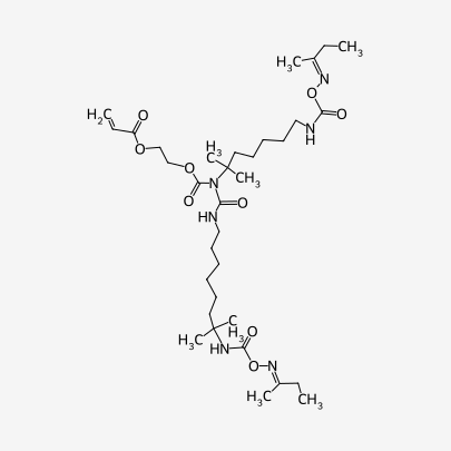 C=CC(=O)OCCOC(=O)N(C(=O)NCCCCCCC(C)(C)NC(=O)O/N=C(\C)CC)C(C)(C)CCCCCNC(=O)O/N=C(\C)CC